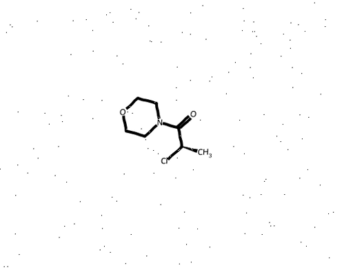 C[C@@H](Cl)C(=O)N1CCOCC1